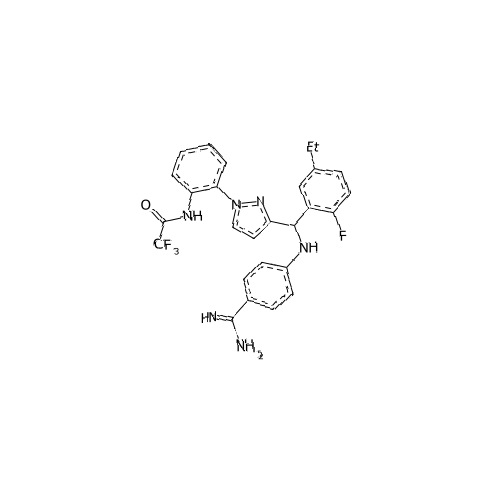 CCc1ccc(F)c(C(Nc2ccc(C(=N)N)cc2)c2ccn(-c3ccccc3NC(=O)C(F)(F)F)n2)c1